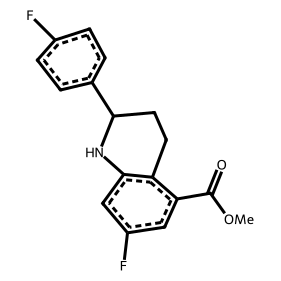 COC(=O)c1cc(F)cc2c1CCC(c1ccc(F)cc1)N2